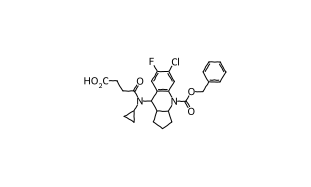 O=C(O)CCC(=O)N(C1CC1)C1c2cc(F)c(Cl)cc2N(C(=O)OCc2ccccc2)C2CCCC21